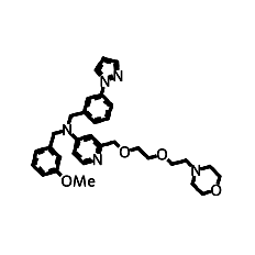 COc1cccc(CN(Cc2cccc(-n3cccn3)c2)c2ccnc(COCCOCCN3CCOCC3)c2)c1